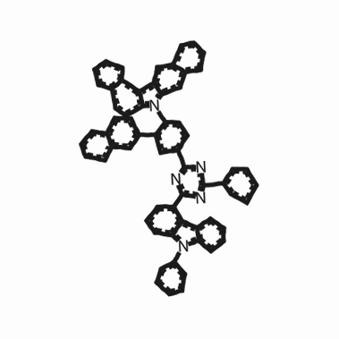 c1ccc(-c2nc(-c3ccc(-n4c5cc6ccccc6cc5c5c6ccccc6ccc54)c(-c4ccc5ccccc5c4)c3)nc(-c3cccc4c3c3ccccc3n4-c3ccccc3)n2)cc1